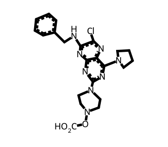 O=C(O)ON1CCN(c2nc(N3CCCC3)c3nc(Cl)c(NCc4ccccc4)nc3n2)CC1